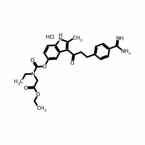 CCOC(=O)CN(CC)C(=O)Oc1ccc2[nH]c(C)c(C(=O)CCc3ccc(C(=N)N)cc3)c2c1.Cl